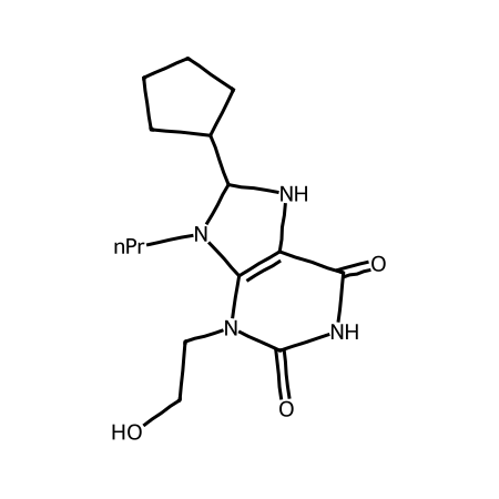 CCCN1c2c(c(=O)[nH]c(=O)n2CCO)NC1C1CCCC1